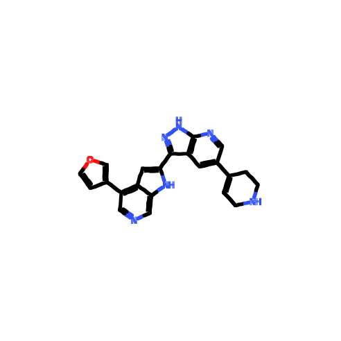 C1=C(c2cnc3[nH]nc(-c4cc5c(-c6ccoc6)cncc5[nH]4)c3c2)CCNC1